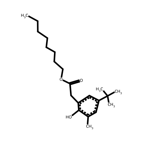 CCCCCCCCOC(=O)Cc1cc(C(C)(C)C)cc(C)c1O